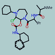 CNC(C)C(=O)NC(C(=O)N1CCCN(C2CCCCC2)C(Cl)C1OC(=O)NC1CCCc2ccccc21)C(C)C